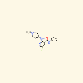 CN1CCC(Nc2ncc(F)cc2C(=O)NC2CC[CH]CC2)CC1